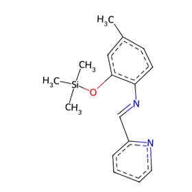 Cc1ccc(/N=C/c2ccccn2)c(O[Si](C)(C)C)c1